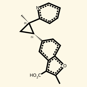 Cc1oc2ccc([C@@H]3C[C@@]3(C)c3ccccn3)cc2c1C(=O)O